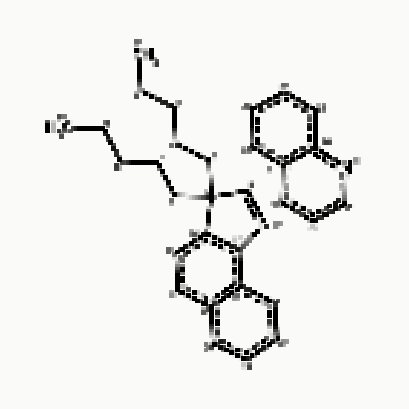 CCCCCC1(CCCCC)C=Nc2c1ccc1ccccc21.c1ccc2ncccc2c1